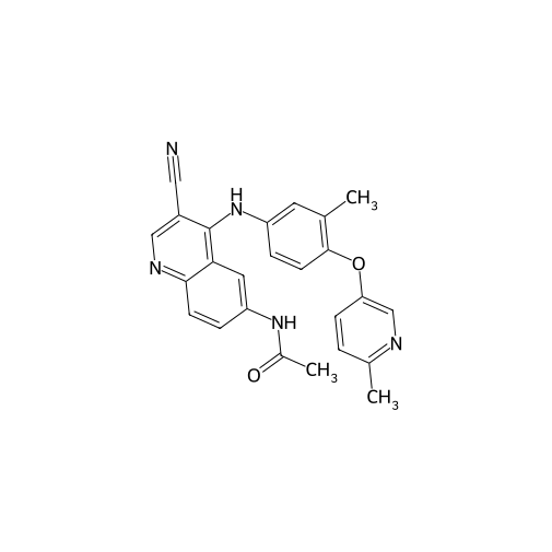 CC(=O)Nc1ccc2ncc(C#N)c(Nc3ccc(Oc4ccc(C)nc4)c(C)c3)c2c1